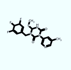 CSC1NC(=O)N(c2cncc(C)c2)C(=O)N1CC1=CC(F)C(F)C(F)=C1